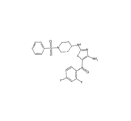 Nc1nc(NC2CCN(S(=O)(=O)c3ccccc3)CC2)sc1C(=O)c1ccc(F)cc1F